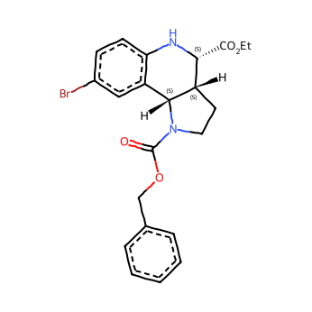 CCOC(=O)[C@H]1Nc2ccc(Br)cc2[C@@H]2[C@H]1CCN2C(=O)OCc1ccccc1